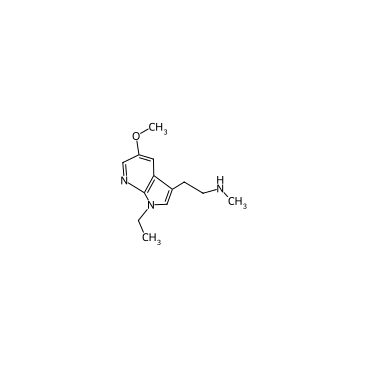 CCn1cc(CCNC)c2cc(OC)cnc21